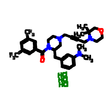 CN(C)c1cccc(CC2CN(CC#CCN3CCOCC3(C)C)CCN2C(=O)c2cc(C(F)(F)F)cc(C(F)(F)F)c2)c1.Cl.Cl.Cl